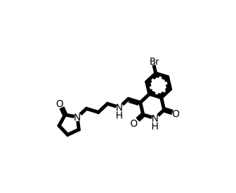 O=C1NC(=O)c2ccc(Br)cc2/C1=C/NCCCN1CCCC1=O